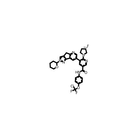 O=C(Nc1ccc(OC(F)(F)Cl)cc1)c1cnc(N2CC[C@H](F)C2)c(-c2cnc3c(c2)-c2nn(C4CCCCO4)cc2C3)c1